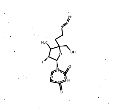 CC1[C@H](F)[C@H](n2ccc(=O)[nH]c2=O)O[C@@]1(CO)CCN=[N+]=[N-]